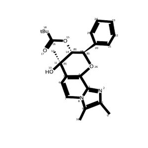 Cc1nc2c3c(ccn2c1C)[C@@](C)(O)[C@H](OC(=O)C(C)(C)C)[C@@H](c1ccccc1)O3